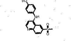 CS(=O)(=O)c1ccc2nccc(Nc3ccc(O)cc3)c2c1